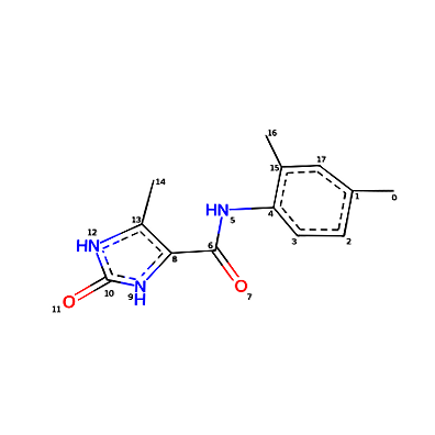 Cc1ccc(NC(=O)c2[nH]c(=O)[nH]c2C)c(C)c1